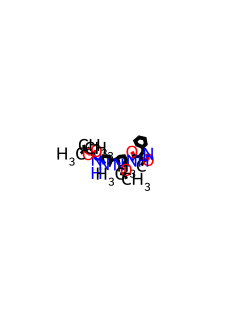 Cc1onc(-c2ccccc2)c1C(=O)Nc1ccc(-c2ccc(NC(=O)OC(C)(C)C)nc2)nc1OC(C)C